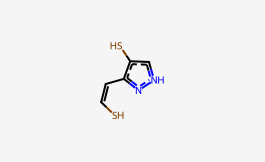 S/C=C\c1n[nH]cc1S